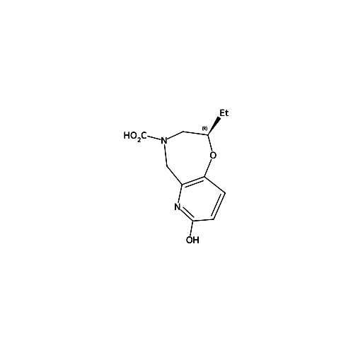 CC[C@@H]1CN(C(=O)O)Cc2nc(O)ccc2O1